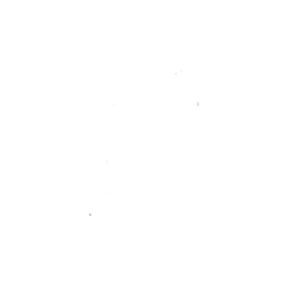 CCCc1c(O)cc2c(c1O)C(=O)CC(c1ccc(O)cc1)O2